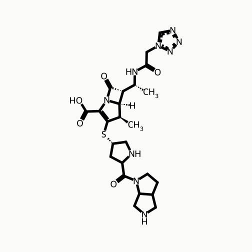 C[C@@H](NC(=O)Cn1cnnn1)[C@H]1C(=O)N2C(C(=O)O)=C(S[C@@H]3CNC(C(=O)N4CCC5CNCC54)C3)[C@H](C)[C@H]12